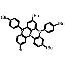 CC(C)(C)c1ccc(N2c3ccc(Br)cc3B3c4ccc(C(C)(C)C)cc4N(c4ccc(C(C)(C)C)cc4)c4cc(C(C)(C)C)cc2c43)cc1